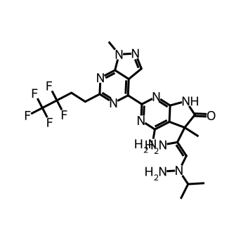 CC(C)N(N)/C=C(\N)C1(C)C(=O)Nc2nc(-c3nc(CCC(F)(F)C(F)(F)F)nc4c3cnn4C)nc(N)c21